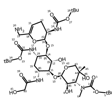 CN(C(=O)OC(C)(C)C)[C@@H]1[C@@H](O)[C@@H](O[C@@H]2[C@@H](O)[C@H](O[C@H]3OC(CN)=CC[C@H]3NC(=O)OC(C)(C)C)[C@@H](NC(=O)OC(C)(C)C)C[C@H]2NC(=O)CO)OC[C@]1(C)O